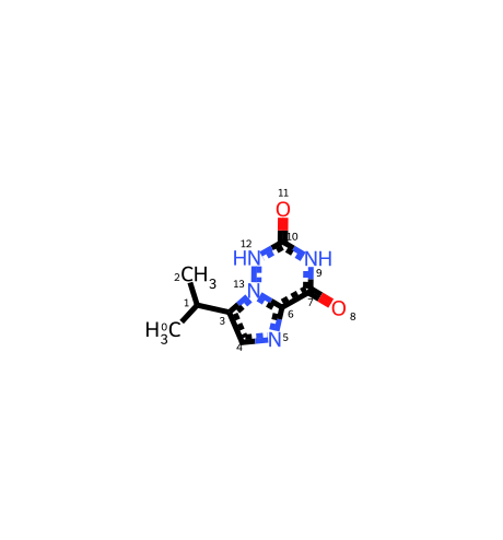 CC(C)c1cnc2c(=O)[nH]c(=O)[nH]n12